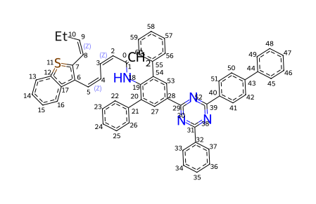 C=C(/C=C\C=C/c1c(/C=C\CC)sc2ccccc12)Nc1c(-c2ccccc2)cc(-c2nc(-c3ccccc3)nc(-c3ccc(-c4ccccc4)cc3)n2)cc1-c1ccccc1